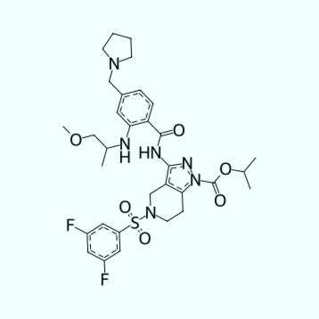 COCC(C)Nc1cc(CN2CCCC2)ccc1C(=O)Nc1nn(C(=O)OC(C)C)c2c1CN(S(=O)(=O)c1cc(F)cc(F)c1)CC2